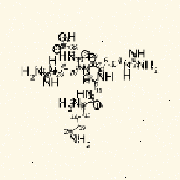 N=C(N)NCCC[C@H](NC(=O)CNC(=O)[C@@H](N)CCCCN)C(=O)N[C@@H](CCCNC(=N)N)C(=O)NCC(=O)O